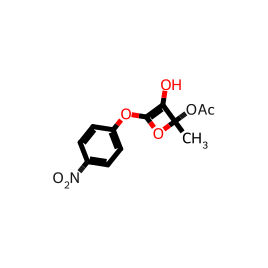 CC(=O)OC1(C)OC(Oc2ccc([N+](=O)[O-])cc2)=C1O